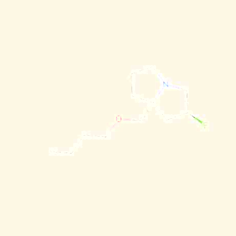 CCCCOC[C@]12CCCN1C[C@@H](F)C2